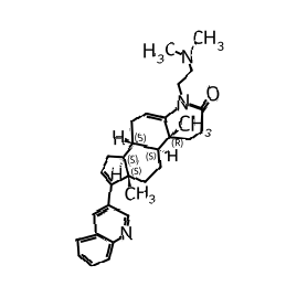 CN(C)CCN1C(=O)CC[C@@]2(C)C1=CC[C@@H]1[C@@H]2CC[C@]2(C)C(c3cnc4ccccc4c3)=CC[C@@H]12